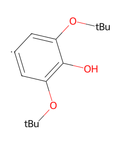 CC(C)(C)Oc1c[c]cc(OC(C)(C)C)c1O